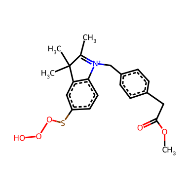 COC(=O)Cc1ccc(C[N+]2=C(C)C(C)(C)c3cc(SOOO)ccc32)cc1